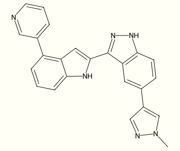 Cn1cc(-c2ccc3[nH]nc(-c4cc5c(-c6cccnc6)cccc5[nH]4)c3c2)cn1